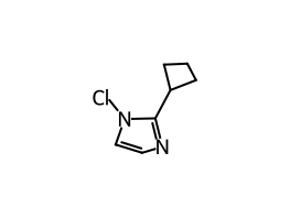 Cln1ccnc1C1CCC1